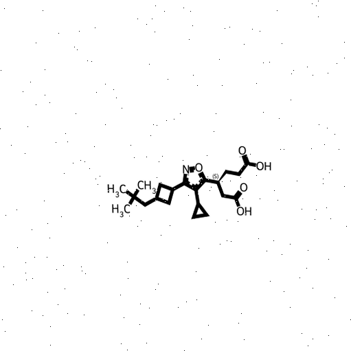 CC(C)(C)CC1CC(c2noc([C@@H](CCC(=O)O)CC(=O)O)c2C2CC2)C1